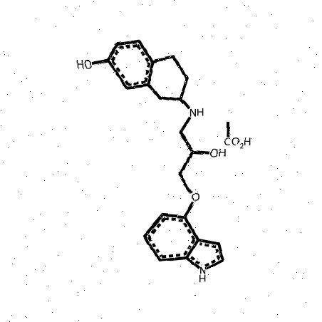 CC(=O)O.Oc1ccc2c(c1)CC(NCC(O)COc1cccc3[nH]ccc13)CC2